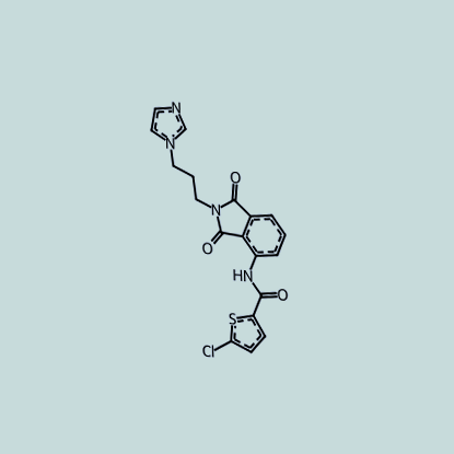 O=C(Nc1cccc2c1C(=O)N(CCCn1ccnc1)C2=O)c1ccc(Cl)s1